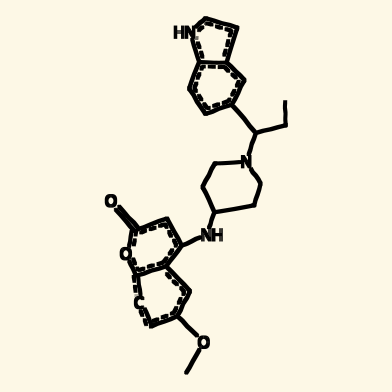 CCC(c1ccc2[nH]ccc2c1)N1CCC(Nc2cc(=O)oc3ccc(OC)cc23)CC1